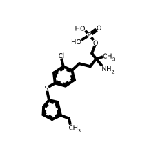 CCc1cccc(Sc2ccc(CCC(C)(N)COP(=O)(O)O)c(Cl)c2)c1